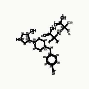 O=C(O)C(F)(F)F.O=C(O)C(F)(F)F.O[C@H]1CNC[C@@H]1N1CCN(Cc2ccc(Br)cc2)CC1